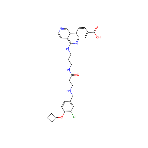 O=C(CCNCc1ccc(OC2CCC2)c(Cl)c1)NCCCNc1nc2cc(C(=O)O)ccc2c2cnccc12